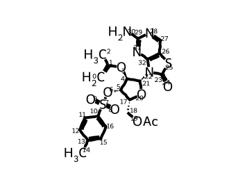 C=C(C)O[C@@H]1[C@@H](OS(=O)(=O)c2ccc(C)cc2)[C@@H](COC(C)=O)O[C@H]1n1c(=O)sc2cnc(N)nc21